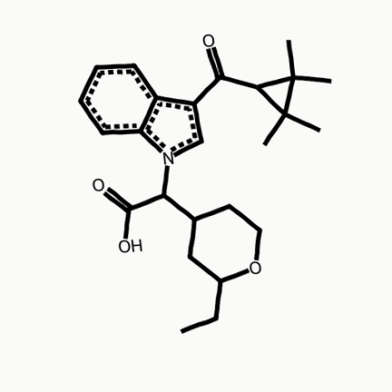 CCC1CC(C(C(=O)O)n2cc(C(=O)C3C(C)(C)C3(C)C)c3ccccc32)CCO1